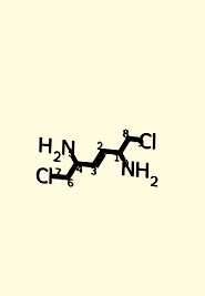 NC(C=CC(N)CCl)CCl